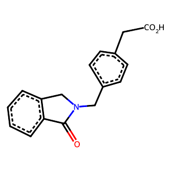 O=C(O)Cc1ccc(CN2Cc3ccccc3C2=O)cc1